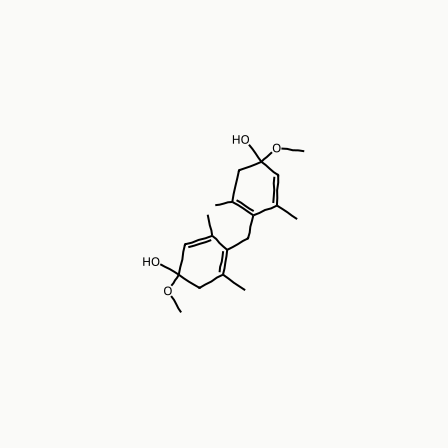 COC1(O)C=C(C)C(CC2=C(C)CC(O)(OC)C=C2C)=C(C)C1